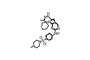 CC1=NNc2cc3cnc(Nc4ccc(S(=O)(=O)N5CCN(C)CC5)cc4)nc3n2C12CCCCC2